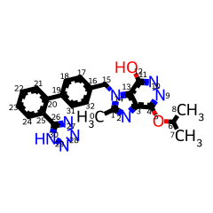 Cc1nc2c(OC(C)C)nnc(O)c2n1Cc1ccc(-c2ccccc2-c2nnn[nH]2)cc1